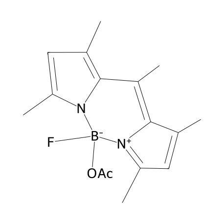 CC(=O)O[B-]1(F)n2c(C)cc(C)c2C(C)=C2C(C)=CC(C)=[N+]21